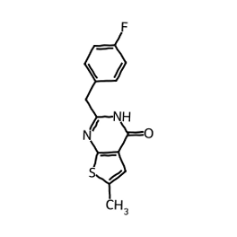 Cc1cc2c(=O)[nH]c(Cc3ccc(F)cc3)nc2s1